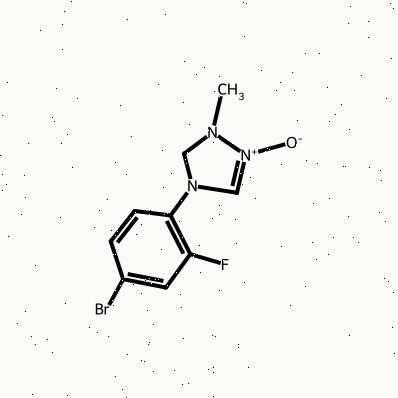 CN1CN(c2ccc(Br)cc2F)C=[N+]1[O-]